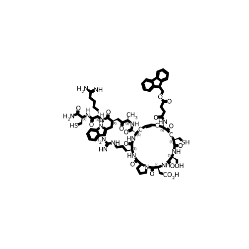 C[C@H](NC(=O)[C@@H]1CC=CC[C@H](NC(=O)CCC(=O)OCC2c3ccccc3-c3ccccc32)C(=O)C[C@@H](CS)C(=O)N[C@@H](CO)C(=O)N[C@@H](CC(=O)O)C(=O)N2CCCC2C(=O)N[C@@H](CCCNC(=N)N)C(=O)N1)C(=O)C[C@@H](Cc1cc2ccccc2[nH]1)C(=O)N[C@@H](CCCCC(=N)N)C(=O)N[C@@H](CS)C(N)=O